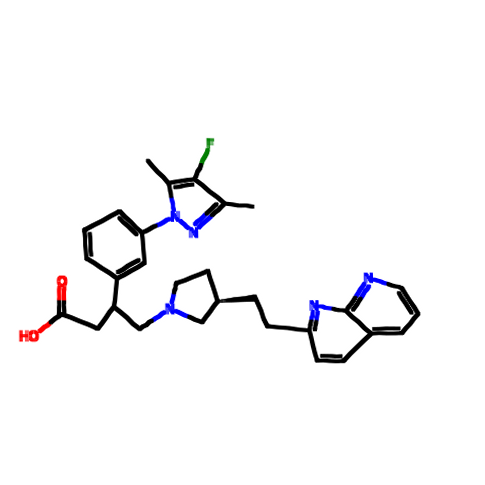 Cc1nn(-c2cccc(C(CC(=O)O)CN3CC[C@@H](CCc4ccc5cccnc5n4)C3)c2)c(C)c1F